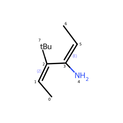 C/C=C(\C(N)=C/C)C(C)(C)C